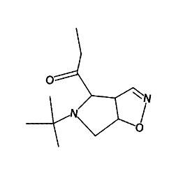 CCC(=O)C1C2C=NOC2CN1C(C)(C)C